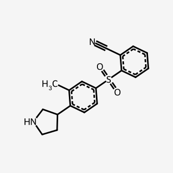 Cc1cc(S(=O)(=O)c2ccccc2C#N)ccc1C1CCNC1